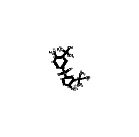 CC(O)(c1cc(S(=O)(=O)c2ccc(N)c(C(C)(O)C(F)(F)F)c2)ccc1N)C(F)(F)F